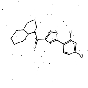 O=C(c1csc(-c2ccc(Cl)cc2Cl)n1)N1CCCC2CCCCC21